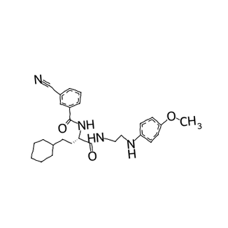 COc1ccc(NCCNC(=O)[C@H](CCC2CCCCC2)NC(=O)c2cccc(C#N)c2)cc1